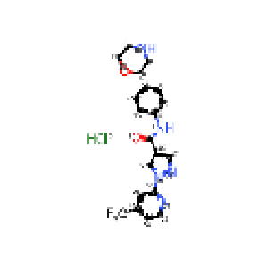 Cl.O=C(Nc1ccc([C@H]2CNCCO2)cc1)c1cnn(-c2cc(C(F)(F)F)ccn2)c1